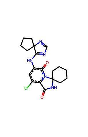 O=C1NC2(CCCCC2)n2c1c(Cl)cc(NC1=NC=NC13CCCC3)c2=O